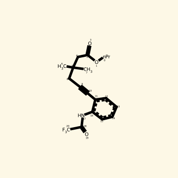 CCCOC(=O)CC(C)(C)CC#Cc1ccccc1NC(=O)C(F)(F)F